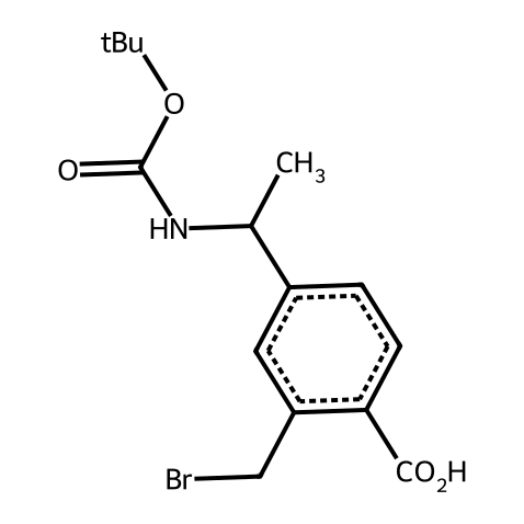 CC(NC(=O)OC(C)(C)C)c1ccc(C(=O)O)c(CBr)c1